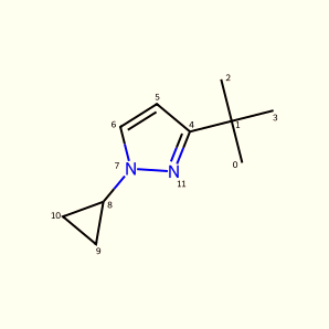 CC(C)(C)c1ccn(C2CC2)n1